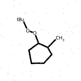 CC1CCCCC1OOC(C)(C)C